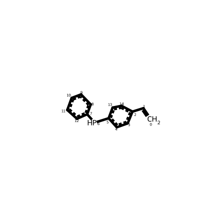 C=Cc1ccc(Pc2ccccc2)cc1